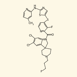 Cc1ccnc(Nc2ncc(Sc3ccnc(C(=O)NCC4(c5ccc(Cl)c(Cl)c5)CCN(CCCF)CC4)c3F)s2)c1